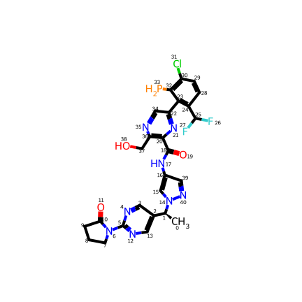 C[C@@H](c1cnc(N2CCCC2=O)nc1)n1cc(NC(=O)c2nc(-c3c(C(F)F)ccc(Cl)c3P)cnc2CO)cn1